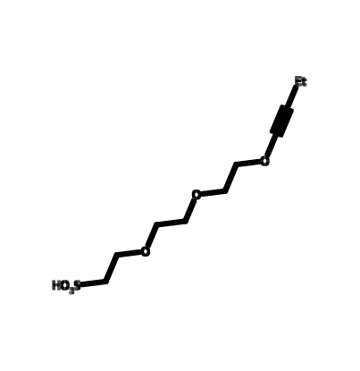 CCC#COCCOCCOCCS(=O)(=O)O